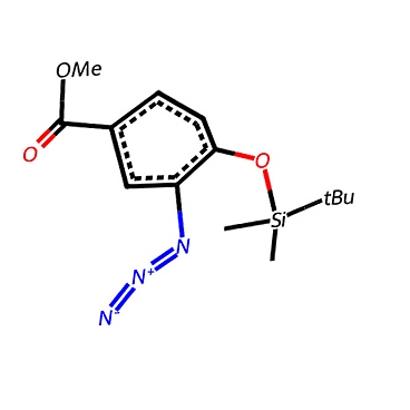 COC(=O)c1ccc(O[Si](C)(C)C(C)(C)C)c(N=[N+]=[N-])c1